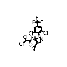 N#Cc1cnn(-c2c(Cl)cc(C(F)(F)F)cc2Cl)c1NC(=O)C(Cl)Cl